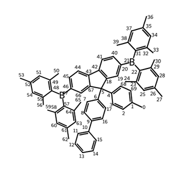 Cc1ccc(C2(c3ccc(-c4ccccc4)cc3)c3cc(B(c4c(C)cc(C)cc4C)c4c(C)cc(C)cc4C)ccc3-c3ccc(B(c4c(C)cc(C)cc4C)c4c(C)cc(C)cc4C)cc32)cc1